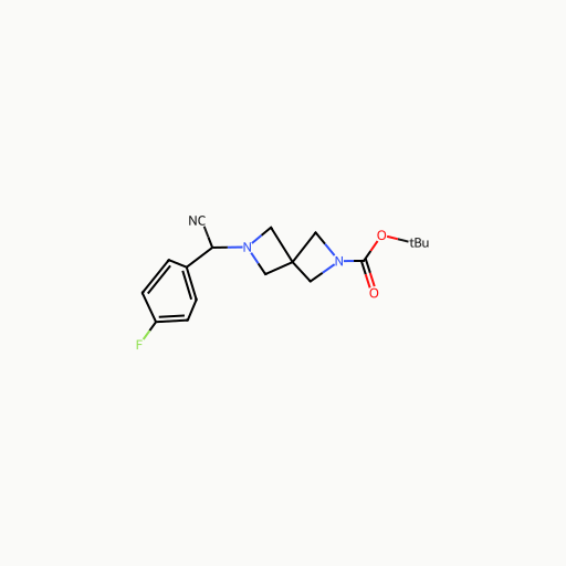 CC(C)(C)OC(=O)N1CC2(C1)CN(C(C#N)c1ccc(F)cc1)C2